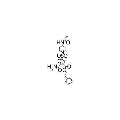 C=CC(=O)NC1CCN(S(=O)(=O)c2cc(C(=O)OCCc3ccccc3)c(C(N)=O)o2)CC1